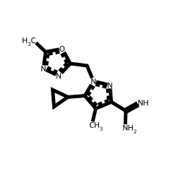 Cc1nnc(Cn2nc(C(=N)N)c(C)c2C2CC2)o1